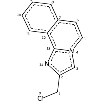 ClCc1cn2ccc3ccccc3c2n1